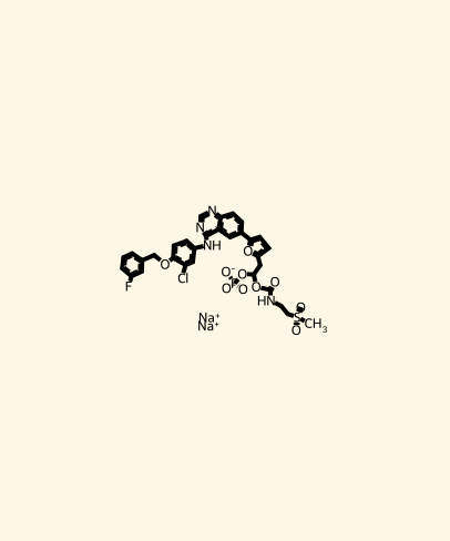 CS(=O)(=O)CCNC(=O)OC(Cc1ccc(-c2ccc3ncnc(Nc4ccc(OCc5cccc(F)c5)c(Cl)c4)c3c2)o1)OP(=O)([O-])[O-].[Na+].[Na+]